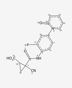 N#CC1(C(=O)Nc2ccc(-n3ccccc3=O)cc2F)CC1C(=O)O